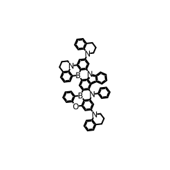 c1ccc(N2c3cc(N4CCCc5ccccc54)cc4c3B(c3ccccc3O4)c3cc4c5c(c32)c2ccccc2n5-c2cc(N3CCCc5ccccc53)cc3c2B4c2cccc4c2N3CCC4)cc1